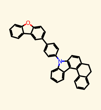 c1ccc2c(c1)CCc1ccc3c(c1-2)c1ccccc1n3-c1ccc(-c2ccc3oc4ccccc4c3c2)cc1